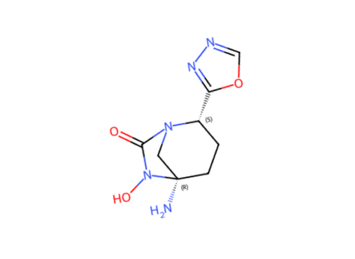 N[C@@]12CC[C@@H](c3nnco3)N(C1)C(=O)N2O